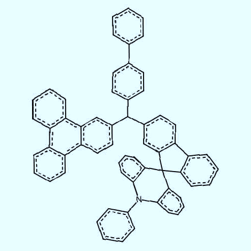 c1ccc(-c2ccc(C(c3ccc4c(c3)C3(c5ccccc5-4)c4ccccc4N(c4ccccc4)c4ccccc43)c3ccc4c5ccccc5c5ccccc5c4c3)cc2)cc1